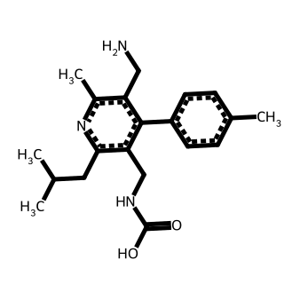 Cc1ccc(-c2c(CN)c(C)nc(CC(C)C)c2CNC(=O)O)cc1